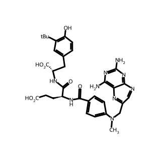 CN(Cc1cnc2nc(N)nc(N)c2n1)c1ccc(C(=O)N[C@@H](CCC(=O)O)C(=O)N[C@@H](Cc2ccc(O)c(C(C)(C)C)c2)C(=O)O)cc1